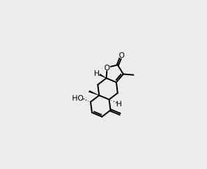 C=C1C=C[C@H](O)[C@]2(C)C[C@@H]3OC(=O)C(C)=C3C[C@@H]12